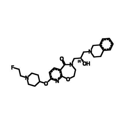 O=C1c2ccc(OC3CCN(CCF)CC3)nc2OCCN1C[C@H](O)CN1CCc2ccccc2C1